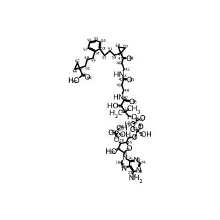 CC(C)(COP(=O)(O)OP(=O)(O)OCC1OC(n2cnc3c(N)ncnc32)C(O)C1OP(=O)(O)O)C(O)C(=O)NCCC(=O)NCCC(=O)C1(CCCc2ccccc2CCCC2(C(=O)O)CC2)CC1